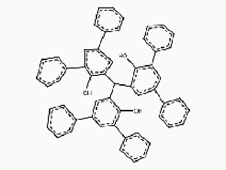 Oc1c(-c2ccccc2)cc(-c2ccccc2)cc1C(c1cc(-c2ccccc2)cc(-c2ccccc2)c1O)c1cc(-c2ccccc2)cc(-c2ccccc2)c1O